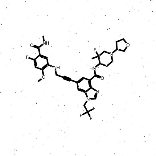 CNC(=O)c1cc(NCC#Cc2cc(C(=O)NC3CCN(C4CCOC4)CC3(C)F)c3ncn(CC(F)(F)F)c3c2)c(OC)cc1F